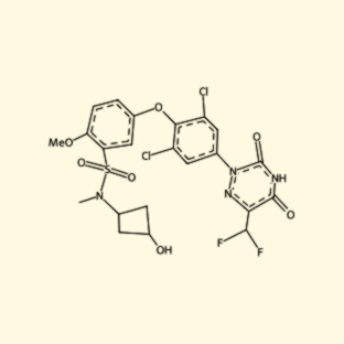 COc1ccc(Oc2c(Cl)cc(-n3nc(C(F)F)c(=O)[nH]c3=O)cc2Cl)cc1S(=O)(=O)N(C)C1CC(O)C1